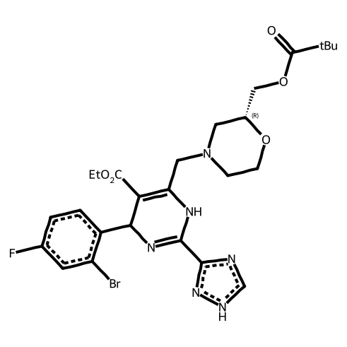 CCOC(=O)C1=C(CN2CCO[C@@H](COC(=O)C(C)(C)C)C2)NC(c2nc[nH]n2)=NC1c1ccc(F)cc1Br